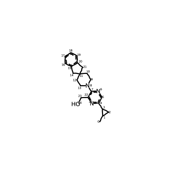 CC1CC1c1cnc(N2CCC3(CC2)Cc2ccccc2C3)c(CO)n1